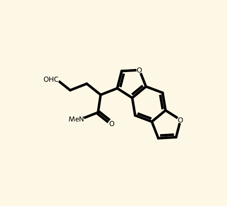 CNC(=O)C(CCC=O)c1coc2cc3occc3cc12